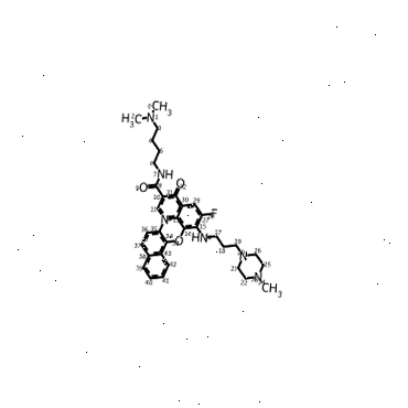 CN(C)CCCCNC(=O)c1cn2c3c(c(NCCCN4CCN(C)CC4)c(F)cc3c1=O)Oc1c-2ccc2ccccc12